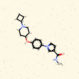 CNC(=O)c1ccn(-c2ccc(OC3CCN(C4CCC4)CC3)cc2)c1